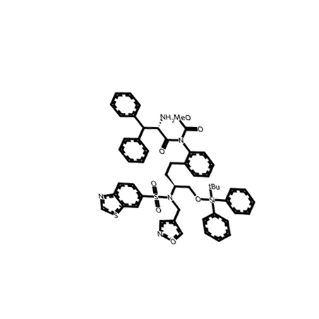 COC(=O)N(C(=O)[C@@H](N)C(c1ccccc1)c1ccccc1)c1ccccc1CC[C@@H](CO[Si](c1ccccc1)(c1ccccc1)C(C)(C)C)N(Cc1cnoc1)S(=O)(=O)c1ccc2ncsc2c1